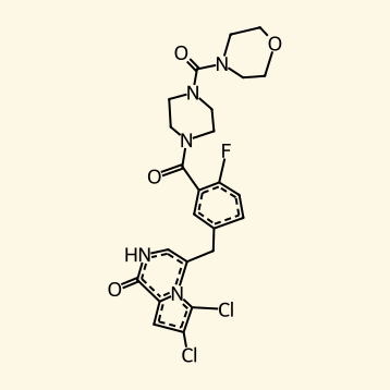 O=C(c1cc(Cc2c[nH]c(=O)c3cc(Cl)c(Cl)n23)ccc1F)N1CCN(C(=O)N2CCOCC2)CC1